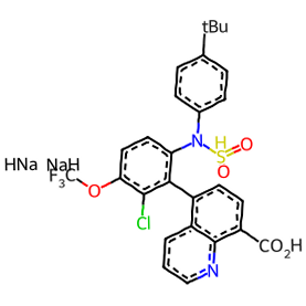 CC(C)(C)c1ccc(N(c2ccc(OC(F)(F)F)c(Cl)c2-c2ccc(C(=O)O)c3ncccc23)[SH](=O)=O)cc1.[NaH].[NaH]